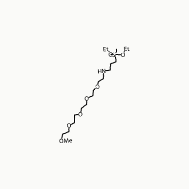 CCO[Si](C)(CCCNCCOCCOCCOCCOCCOC)OCC